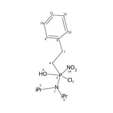 CC(C)N(C(C)C)P(O)(Cl)(CCc1ccccc1)[N+](=O)[O-]